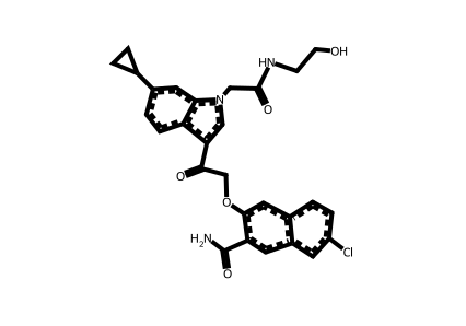 NC(=O)c1cc2cc(Cl)ccc2cc1OCC(=O)c1cn(CC(=O)NCCO)c2cc(C3CC3)ccc12